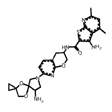 Cc1cc(C)c2c(N)c(C(=O)NC3COc4nc(N5CC(N)C6(C5)OCC5(CC5)O6)ccc4C3)sc2n1